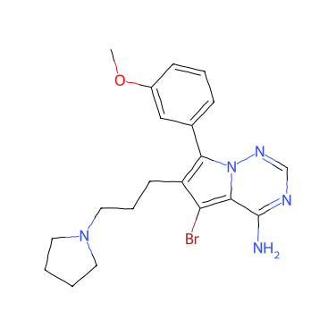 COc1cccc(-c2c(CCCN3CCCC3)c(Br)c3c(N)ncnn23)c1